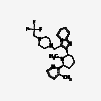 Cc1cccnc1[C@@H]1CCC[C@H](c2nc3ccccn3c2CN2CCN(CC(F)(F)F)CC2)N1C